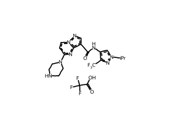 CC(C)n1cc(NC(=O)c2cnn3ccc(N4CCNCC4)nc23)c(C(F)(F)F)n1.O=C(O)C(F)(F)F